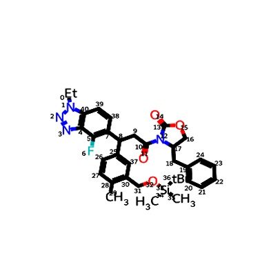 CCn1nnc2c(F)c(C(CC(=O)N3C(=O)OCC3Cc3ccccc3)c3ccc(C)c(CO[Si](C)(C)C(C)(C)C)c3)ccc21